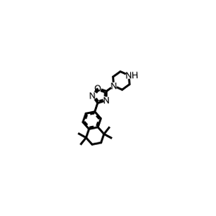 CC1(C)CCC(C)(C)c2cc(-c3noc(N4CCNCC4)n3)ccc21